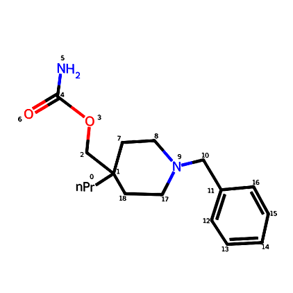 CCCC1(COC(N)=O)CCN(Cc2ccccc2)CC1